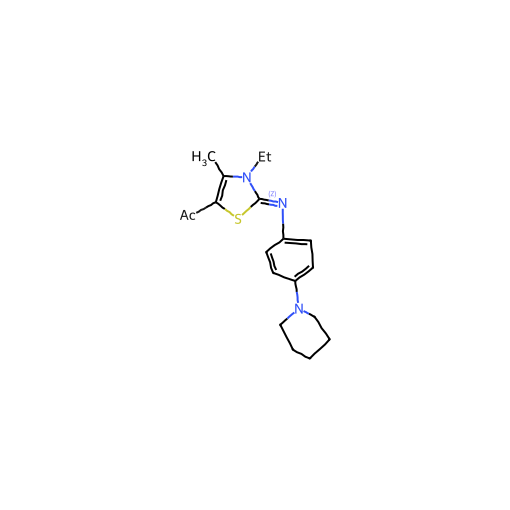 CCn1c(C)c(C(C)=O)s/c1=N\c1ccc(N2CCCCC2)cc1